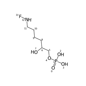 O=P(O)(O)OCC(O)CCCCNF